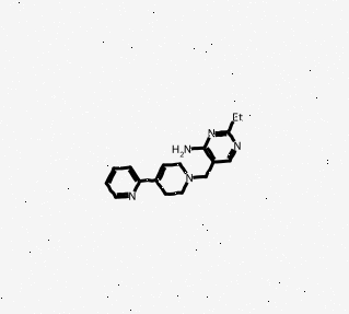 CCc1ncc(CN2CC=C(c3ccccn3)CC2)c(N)n1